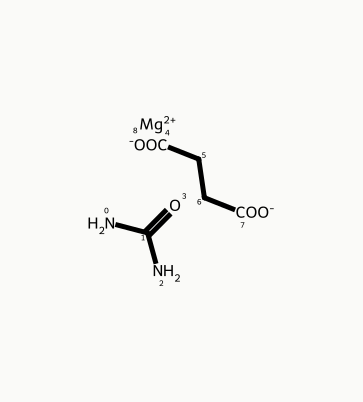 NC(N)=O.O=C([O-])CCC(=O)[O-].[Mg+2]